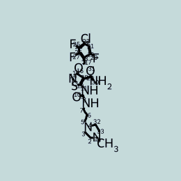 CN1CCN(CCCNC(=O)Nc2snc(OCc3c(F)cc(Cl)c(F)c3F)c2C(N)=O)CC1